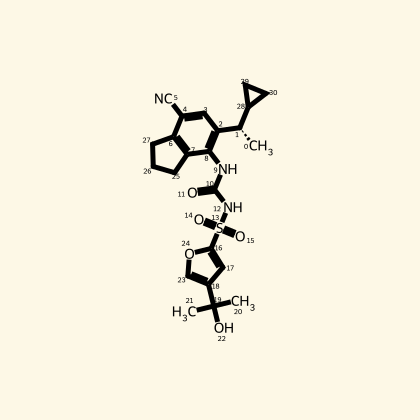 C[C@H](c1cc(C#N)c2c(c1NC(=O)NS(=O)(=O)c1cc(C(C)(C)O)co1)CCC2)C1CC1